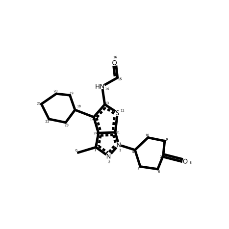 Cc1nn(C2CCC(=O)CC2)c2sc(NC=O)c(C3CCCCC3)c12